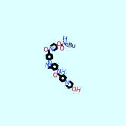 CC(C)(C)NC(=O)OC1CCN(C(=O)c2ccc(-n3ncc4cc(NC(=O)c5ccc(N6CCC(O)CC6)cc5)ccc43)cc2)CC1